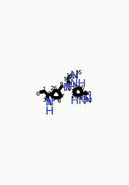 C=Cc1c[nH]c2ccc(C/N=C(\C=C/N=C)Nc3ccc4[nH]ncc4c3)cc12